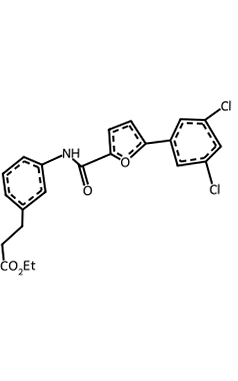 CCOC(=O)CCc1cccc(NC(=O)c2ccc(-c3cc(Cl)cc(Cl)c3)o2)c1